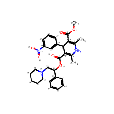 COC(=O)C1=C(C)NC(C)=C(C(=O)OC(CN2CCCCC2)c2ccccc2)C1c1cccc([N+](=O)[O-])c1